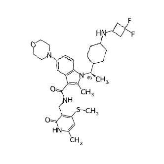 CSc1cc(C)[nH]c(=O)c1CNC(=O)c1c(C)n([C@H](C)C2CCC(NC3CC(F)(F)C3)CC2)c2ccc(N3CCOCC3)cc12